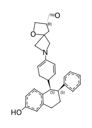 O=C[C@H]1COC2(C1)CN(C1=CCC([C@@H]3c4ccc(O)cc4CC[C@@H]3c3ccccc3)C=C1)C2